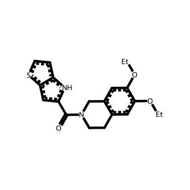 CCOc1cc2c(cc1OCC)CN(C(=O)c1cc3sccc3[nH]1)CC2